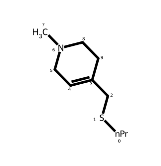 CCCSCC1=CCN(C)CC1